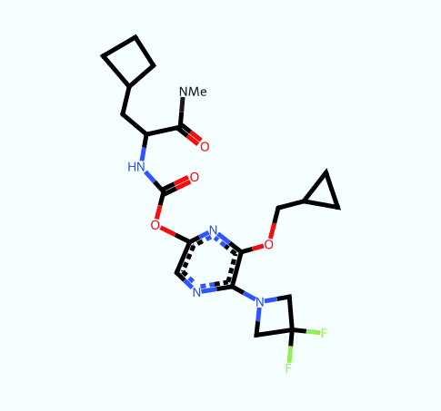 CNC(=O)C(CC1CCC1)NC(=O)Oc1cnc(N2CC(F)(F)C2)c(OCC2CC2)n1